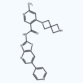 Cc1cc(N2CC3(CNC3)C2)c(C(=O)Nc2nc3ncc(-c4ccncc4)cc3s2)cn1